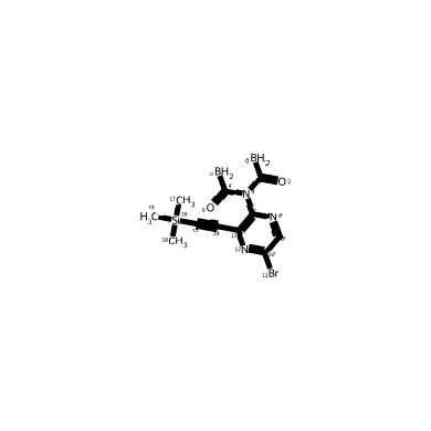 BC(=O)N(C(B)=O)c1ncc(Br)nc1C#C[Si](C)(C)C